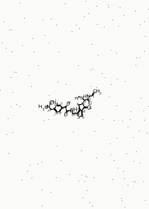 C=CNC(=O)C(CCC)N1Cc2c(csc2CNC(=O)C(=O)c2ccc(CN(C)C)cc2)C1=O